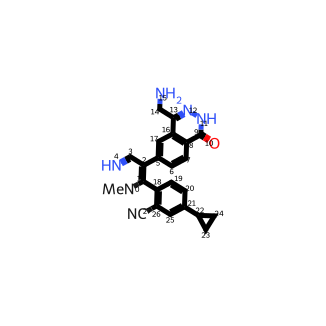 CN/C(=C(\C=N)c1ccc2c(=O)[nH]nc(CN)c2c1)c1ccc(C2CC2)cc1C#N